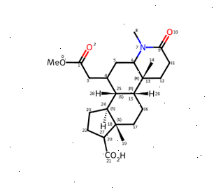 COC(=O)CC1CC2N(C)C(=O)CC[C@]2(C)[C@@H]2CC[C@]3(C)C(C(=O)O)CC[C@H]3[C@H]12